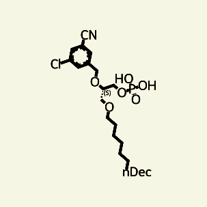 CCCCCCCCCCCCCCCCOC[C@@H](COP(=O)(O)O)OCc1cc(Cl)cc(C#N)c1